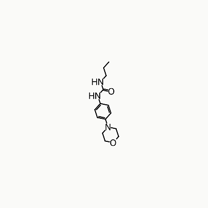 CCCNC(=O)Nc1ccc(N2CCOCC2)cc1